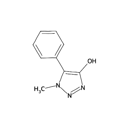 Cn1nnc(O)c1-c1ccccc1